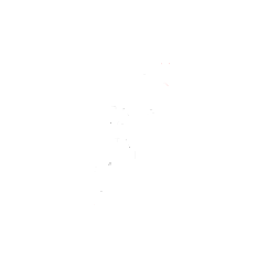 COC(=O)[C@H]1CC[C@H]2[C@@H]3CCC4=CC(=O)CC[C@]4(C)[C@H]3CC[C@]12C